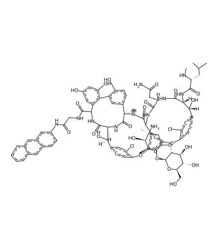 CN[C@H](CC(C)C)C(=O)N[C@H]1C(=O)N[C@@H](CC(N)=O)C(=O)NC2C(=O)N[C@H]3C(=O)N[C@H](C(=O)NC(C(=O)NCC(=O)Nc4ccc5cc6ccccc6cc5c4)c4cc(O)cc(O)c4-c4cc3ccc4O)[C@H](O)c3ccc(c(Cl)c3)Oc3cc2cc(c3O[C@@H]2O[C@H](CO)[C@@H](O)[C@H](O)[C@H]2OC2C[C@](C)(N)[C@H](O)[C@H](C)O2)Oc2ccc(cc2Cl)[C@H]1O